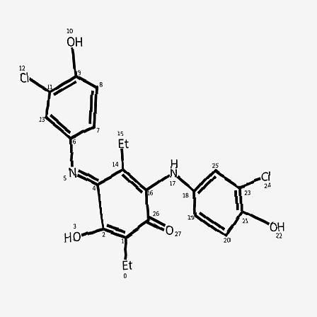 CCC1=C(O)/C(=N/c2ccc(O)c(Cl)c2)C(CC)=C(Nc2ccc(O)c(Cl)c2)C1=O